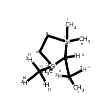 [2H]C([2H])(C)C1([2H])[Si](C)(C)CC[Si]1(C)C([2H])([2H])[2H]